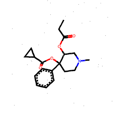 CCC(=O)OC1CN(C)CCC1(OC(=O)C1CC1)c1ccccc1